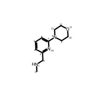 CNCc1cccc(N2CCOCC2)n1